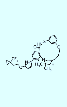 CC1(C)C[C@@H]2CCCOc3cccc(c3)SNC(=O)c3ccc(-n4ccc(OCCC5(C(F)(F)F)CC5)n4)nc3N1C2